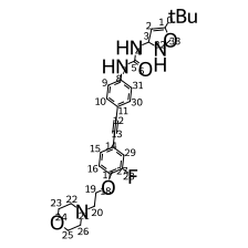 CC(C)(C)C1=CC(NC(=O)Nc2ccc(C#Cc3ccc(OCCN4CCOCC4)c(F)c3)cc2)NO1